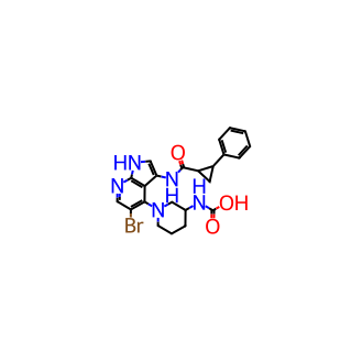 O=C(O)NC1CCCN(c2c(Br)cnc3[nH]cc(NC(=O)C4CC4c4ccccc4)c23)C1